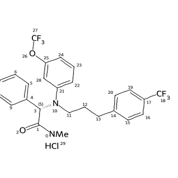 CNC(=O)[C@H](c1ccccc1)N(CCCc1ccc(C(F)(F)F)cc1)c1cccc(OC(F)(F)F)c1.Cl